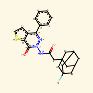 O=C(CC12CC3CC(CC(F)(C3)C1)C2)Nn1nc(-c2ccccc2)c2ccsc2c1=O